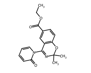 CCOC(=O)c1ccc2c(c1)C(n1ccccc1=O)=NC(C)(C)O2